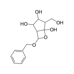 OCC1C(O)C(O)C2C(OCc3ccccc3)OC12O